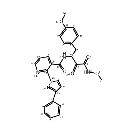 CONC(=O)C(=O)[C@H](Cc1ccc(OC)cc1)NC(=O)c1cccnc1-n1ccc(-c2ccccc2)n1